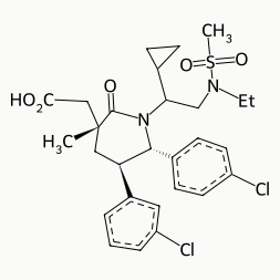 CCN(CC(C1CC1)N1C(=O)[C@@](C)(CC(=O)O)C[C@H](c2cccc(Cl)c2)[C@H]1c1ccc(Cl)cc1)S(C)(=O)=O